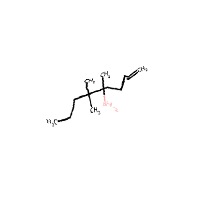 BC(C)(CC=C)C(C)(C)CCC